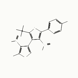 O=[N+]([O-])c1c(-c2c(C(F)(F)F)[nH]c(-c3ccc(Cl)cc3)c2[N+](=O)[O-])csc1Br